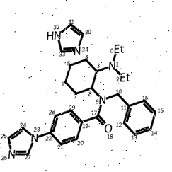 CCN(CC)C1CCCCC1N(Cc1ccccc1)C(=O)c1ccc(-n2ccnc2)cc1.c1c[nH]cn1